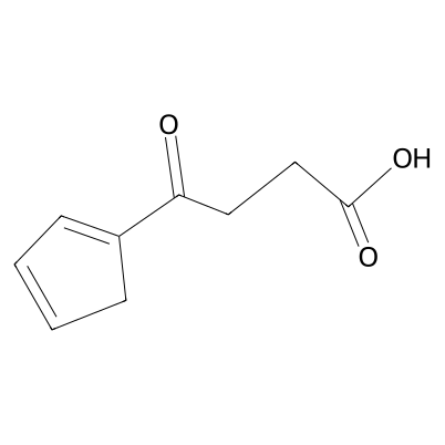 O=C(O)CCC(=O)C1=CC=CC1